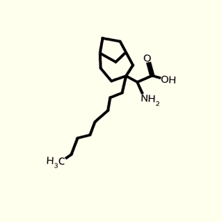 CCCCCCCCC1(C(N)C(=O)O)CCC2CCC(C2)C1